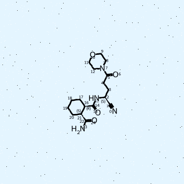 N#C[C@H](CCC(=O)N1CCOCC1)NC(=O)[C@@H]1CCCC[C@@H]1C(N)=O